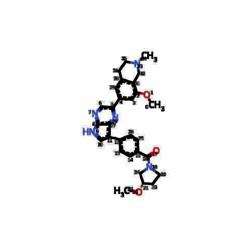 COc1cc(-c2cnc3[nH]cc(-c4ccc(C(=O)N5CC[C@H](OC)C5)cc4)c3n2)cc2c1CN(C)CC2